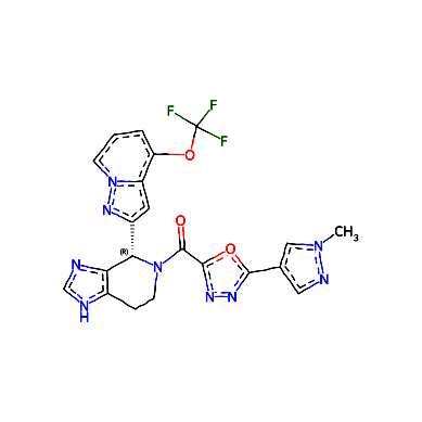 Cn1cc(-c2nnc(C(=O)N3CCc4[nH]cnc4[C@@H]3c3cc4c(OC(F)(F)F)cccn4n3)o2)cn1